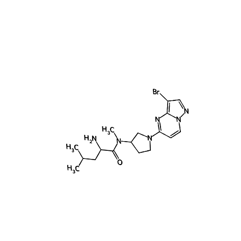 CC(C)CC(N)C(=O)N(C)C1CCN(c2ccn3ncc(Br)c3n2)C1